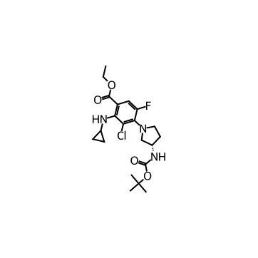 CCOC(=O)c1cc(F)c(N2CC[C@H](NC(=O)OC(C)(C)C)C2)c(Cl)c1NC1CC1